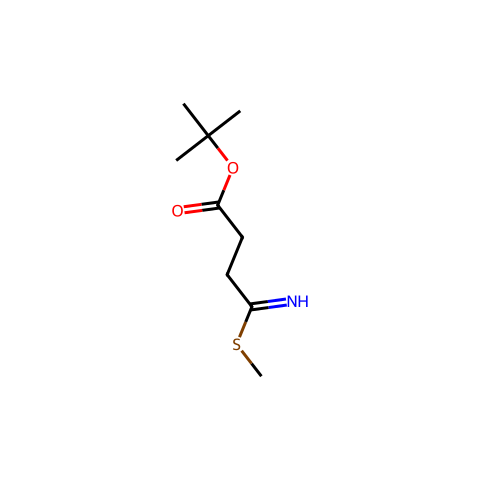 CSC(=N)CCC(=O)OC(C)(C)C